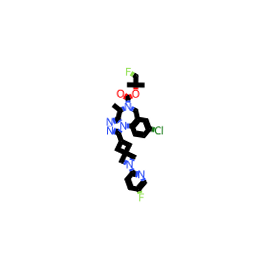 CC1c2nnc(C3CC4(C3)CN(c3ccc(F)cn3)C4)n2-c2ccc(Cl)cc2CN1C(=O)OC(C)(C)CF